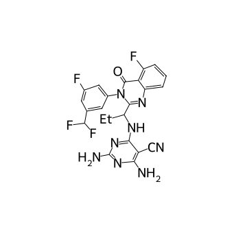 CCC(Nc1nc(N)nc(N)c1C#N)c1nc2cccc(F)c2c(=O)n1-c1cc(F)cc(C(F)F)c1